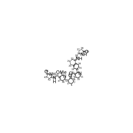 COc1nc(-c2cccc(-c3ccnc(-c4ccc5c(c4)CCC[C@H]5NC[C@@H]4CCC(=O)N4)c3Cl)c2Cl)ccc1CN[C@@H]1CCC(=O)N1